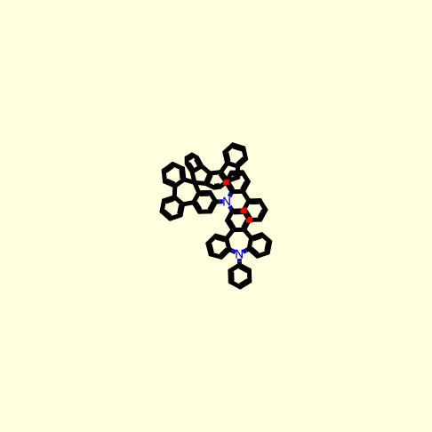 c1ccc(-c2ccccc2N(c2ccc3c(c2)-c2ccccc2N(c2ccccc2)c2ccccc2-3)c2ccc3c(c2)C2(c4ccccc4-c4ccccc4-3)c3ccccc3-c3c2ccc2c3-c3ccccc3C2)cc1